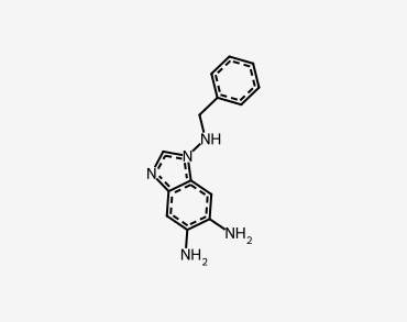 Nc1cc2ncn(NCc3ccccc3)c2cc1N